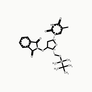 CC(C)(C)[Si](C)(C)OC[C@H]1O[C@@H](n2cc(I)c(=O)[nH]c2=O)CC1ON1C(=O)c2ccccc2C1=O